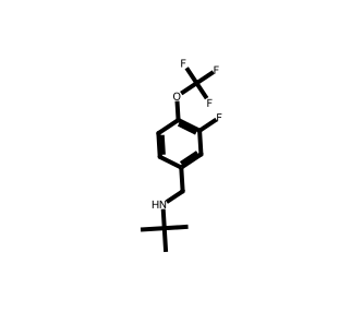 CC(C)(C)NCc1ccc(OC(F)(F)F)c(F)c1